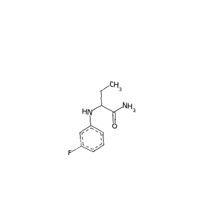 CCC(Nc1cccc(F)c1)C(N)=O